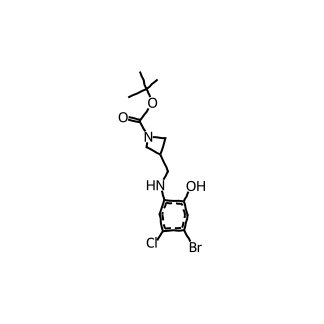 CC(C)(C)OC(=O)N1CC(CNc2cc(Cl)c(Br)cc2O)C1